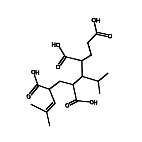 CC(C)=CC(CC(C(=O)O)C(C(C)C)C(CCC(=O)O)C(=O)O)C(=O)O